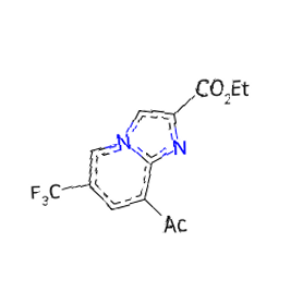 CCOC(=O)c1cn2cc(C(F)(F)F)cc(C(C)=O)c2n1